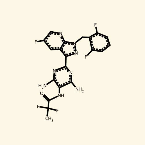 CC(F)(F)C(=O)Nc1c(N)nc(-c2nn(Cc3c(F)cccc3F)c3ncc(F)cc23)nc1N